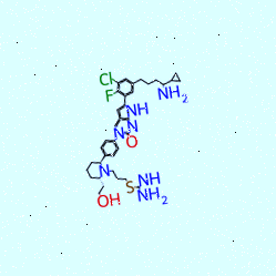 N=C(N)SCCCN1[C@H](CCO)CCC[C@H]1c1ccc(-n2cc3cc(-c4cc(CCC[C@@H](N)C5CC5)cc(Cl)c4F)[nH]c3nc2=O)cc1